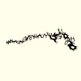 Cc1cc(N(C)CCOCCOCCOCCOCCOCCN=[N+]=[N-])nc(Nc2ccc(NC(=O)Cc3ccccc3)cc2)n1